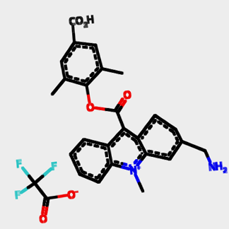 Cc1cc(C(=O)O)cc(C)c1OC(=O)c1c2ccccc2[n+](C)c2cc(CN)ccc12.O=C([O-])C(F)(F)F